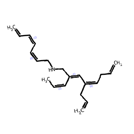 C=C/C=C\C=C/CNCC(/C=C\C)=C/C(=C\CC=C)CC=C